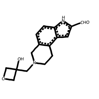 O=Cc1cc2c3c(ccc2[nH]1)CN(CC1(O)COC1)CC3